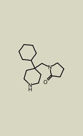 O=C1CCCN1CC1(C2CCCCC2)CCNCC1